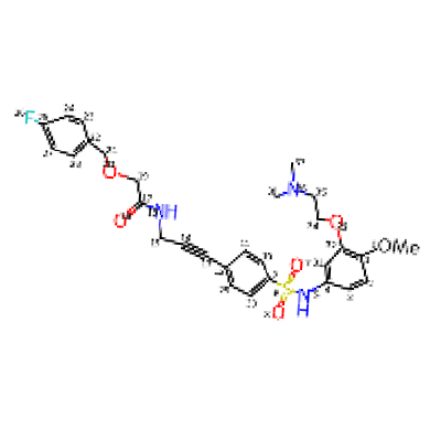 COc1ccc(NS(=O)(=O)c2ccc(C#CCNC(=O)COCc3ccc(F)cc3)cc2)cc1OCCN(C)C